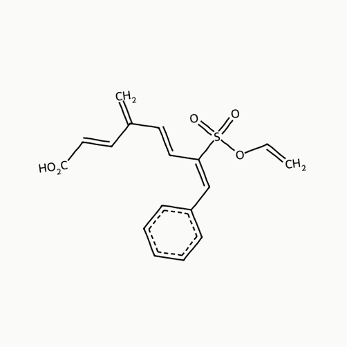 C=COS(=O)(=O)C(C=CC(=C)C=CC(=O)O)=Cc1ccccc1